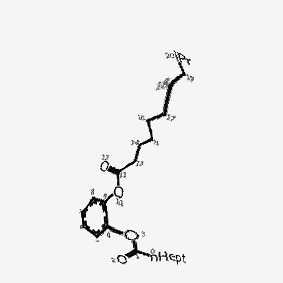 CCCCCCCC(=O)Oc1ccccc1OC(=O)CCCCCCCC(C)C